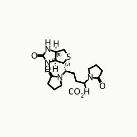 O=C1N[C@H]2[C@H](CS[C@@H]2C(CCC(C(=O)O)N2CCCC2=O)N2CCCC2=O)N1